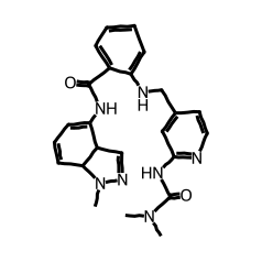 CN(C)C(=O)Nc1cc(CNc2ccccc2C(=O)NC2=CC=CC3C2C=NN3C)ccn1